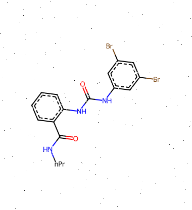 CCCNC(=O)c1ccccc1NC(=O)Nc1cc(Br)cc(Br)c1